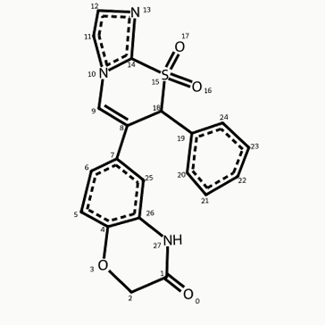 O=C1COc2ccc(C3=Cn4ccnc4S(=O)(=O)C3c3ccccc3)cc2N1